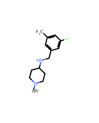 CCCN1CCC(NCc2cc(F)cc(C(F)(F)F)c2)CC1